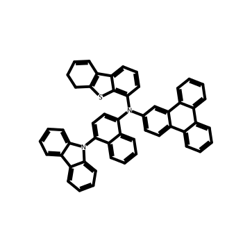 C1=Cc2c(sc3c(N(c4ccc5c6ccccc6c6ccccc6c5c4)c4ccc(-n5c6ccccc6c6ccccc65)c5ccccc45)cccc23)CC1